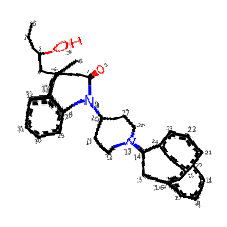 CCC(O)CC1(C)C(=O)N(C2CCN(C3Cc4cccc5cccc3c45)CC2)c2ccccc21